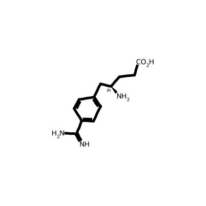 N=C(N)c1ccc(C[C@H](N)CCC(=O)O)cc1